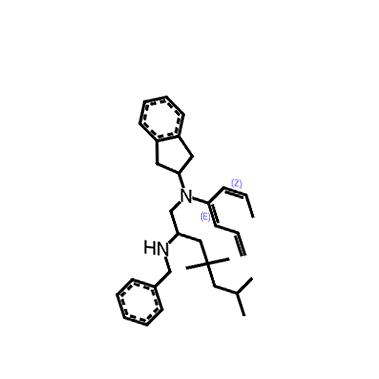 C=C/C=C(\C=C/C)N(CC(CC(C)(C)CC(C)C)NCc1ccccc1)C1Cc2ccccc2C1